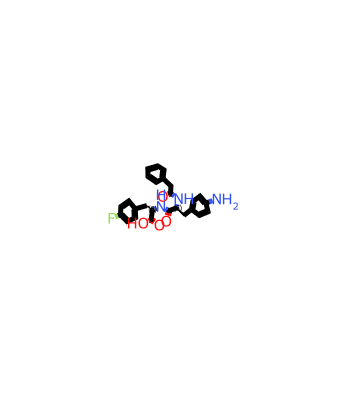 Nc1ccc(C[C@H](NC(=O)Cc2ccccc2)C(=O)N[C@@H](Cc2ccc(F)cc2)C(=O)O)cc1